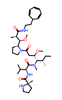 CC[C@H](C)[C@@H](C(CC(=O)N1CCC[C@H]1[C@H](OC)[C@@H](C)C(=O)NCCC1C=CC=CC=C1)OC)N(C)C(=O)[C@@H](NC(=O)[C@]1(C)CCCN1)C(C)C